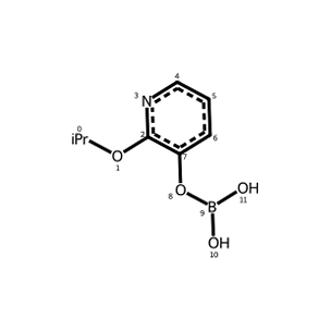 CC(C)Oc1ncccc1OB(O)O